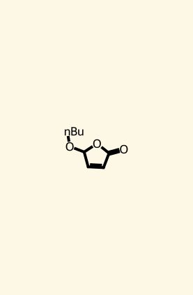 CCCCOC1C=CC(=O)O1